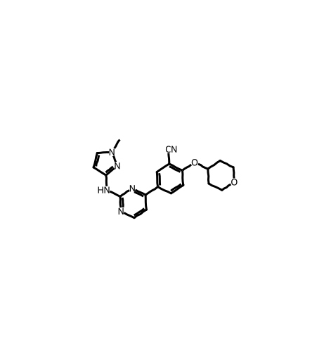 Cn1ccc(Nc2nccc(-c3ccc(OC4CCOCC4)c(C#N)c3)n2)n1